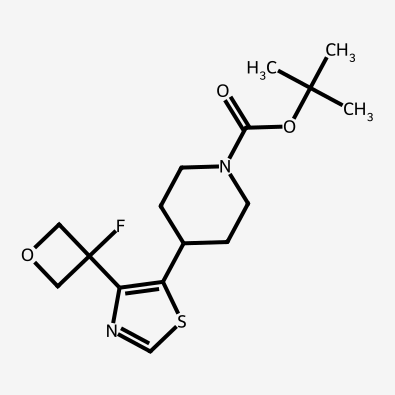 CC(C)(C)OC(=O)N1CCC(c2scnc2C2(F)COC2)CC1